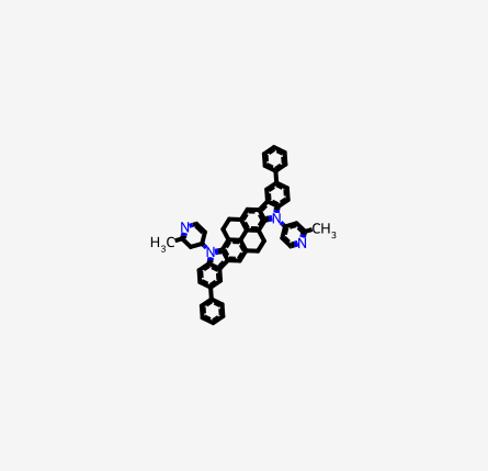 CC1=NC=CC(n2c3ccc(-c4ccccc4)cc3c3cc4c5c(c32)CCc2cc3c6cc(-c7ccccc7)ccc6n(-c6ccnc(C)c6)c3c(c2-5)CC4)C1